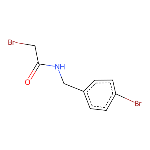 O=C(CBr)NCc1ccc(Br)cc1